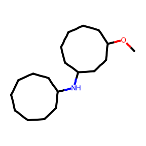 COC1CCCCCC(NC2CCCCCCCC2)CC1